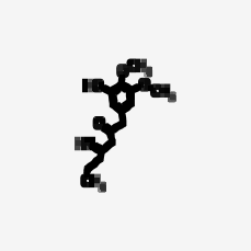 CCCC(=N)CC(=O)Cc1cc(O)c(OC)c(OC)c1